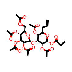 C=CC[C@H]1O[C@H](OC(=O)CC)[C@H](OC(C)=O)[C@H](O[C@H]2O[C@H](COC(C)=O)[C@@H](OC(C)=O)[C@H](OC(C)=O)[C@@H]2OC(C)=O)[C@@H]1OC(C)=O